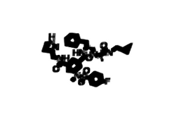 C[C@H](NC[C@H](Cc1ccccc1)NC(=O)c1cc(C(=O)NCc2cc[nH]n2)cc(N(C)S(=O)(=O)c2ccc(F)cc2)c1)C(=O)NCC1CC1